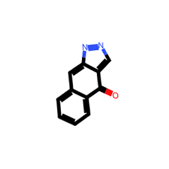 O=C1C2=CN=NC2=Cc2ccccc21